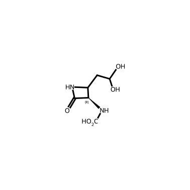 O=C(O)N[C@H]1C(=O)NC1CC(O)O